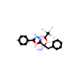 N[C@@](Cc1ccccc1)(OC(=O)C(F)(F)F)c1nnc(-c2ccccc2)o1